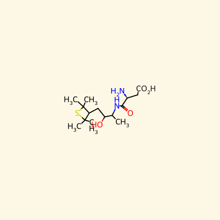 CC(NC(=O)[C@@H](N)CC(=O)O)C(O)CC1C(C)(C)SC1(C)C